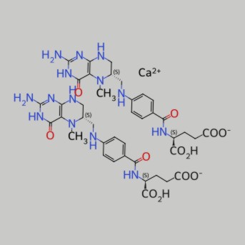 CN1c2c(nc(N)[nH]c2=O)NC[C@@H]1CNc1ccc(C(=O)N[C@@H](CCC(=O)[O-])C(=O)O)cc1.CN1c2c(nc(N)[nH]c2=O)NC[C@@H]1CNc1ccc(C(=O)N[C@@H](CCC(=O)[O-])C(=O)O)cc1.[Ca+2]